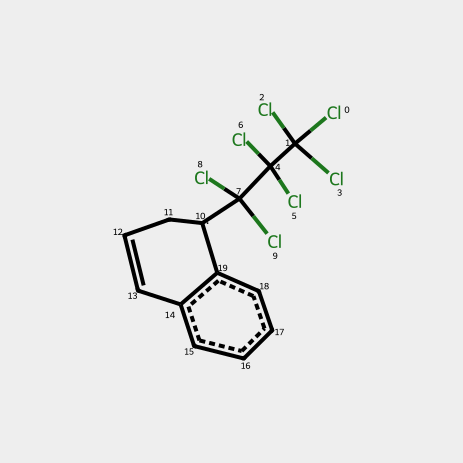 ClC(Cl)(Cl)C(Cl)(Cl)C(Cl)(Cl)[C]1CC=Cc2ccccc21